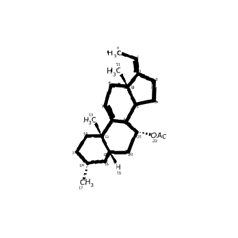 C/C=C1/CCC2C3C(=CC[C@]12C)[C@@]1(C)CC[C@@H](C)C[C@H]1C[C@H]3OC(C)=O